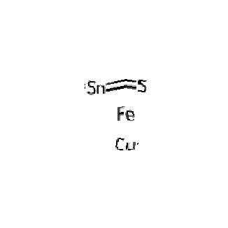 [Cu].[Fe].[S]=[Sn]